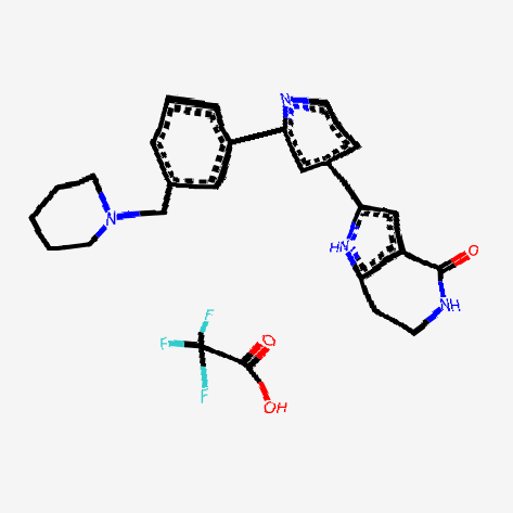 O=C(O)C(F)(F)F.O=C1NCCc2[nH]c(-c3ccnc(-c4cccc(CN5CCCCC5)c4)c3)cc21